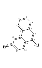 Clc1cc2ccccc2c2cc(Br)ccc12